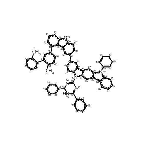 Cc1ccccc1-c1cc(-c2cccc3oc4ccc(-c5ccc6c(c5)c5cc7c(cc5n6C5=NC(c6ccccc6)NC(c6ccccc6)=N5)c5ccccc5n7C5=CCCC=C5)cc4c23)ccc1C